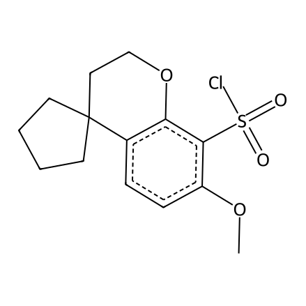 COc1ccc2c(c1S(=O)(=O)Cl)OCCC21CCCC1